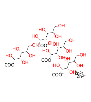 O=C([O-])[C@H](O)[C@@H](O)[C@H](O)[C@H](O)CO.O=C([O-])[C@H](O)[C@@H](O)[C@H](O)[C@H](O)CO.O=C([O-])[C@H](O)[C@@H](O)[C@H](O)[C@H](O)CO.O=C([O-])[C@H](O)[C@@H](O)[C@H](O)[C@H](O)CO.[Zn+2].[Zn+2]